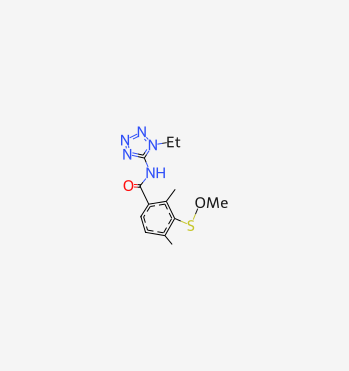 CCn1nnnc1NC(=O)c1ccc(C)c(SOC)c1C